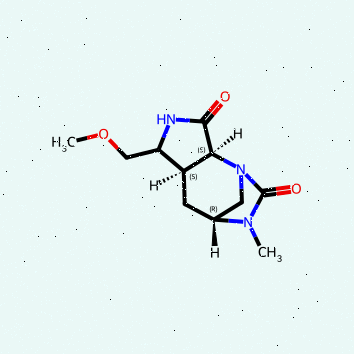 COCC1NC(=O)[C@@H]2[C@H]1C[C@@H]1CN2C(=O)N1C